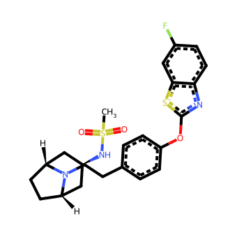 CS(=O)(=O)N[C@@H]1C[C@H]2CC[C@@H](C1)N2CCc1ccc(Oc2nc3ccc(F)cc3s2)cc1